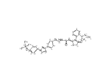 CSC(C)c1ccccc1N1C(=O)CS/C1=N\C(=O)NCOc1ccc(-c2ncn(-c3ccc(OC(F)(F)F)cc3)n2)cc1